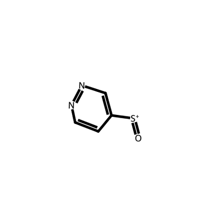 O=[S+]c1ccnnc1